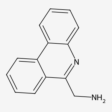 NCc1nc2ccccc2c2ccccc12